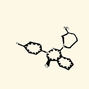 NC1CCCN(c2nn(-c3ccc(F)cc3)c(=O)c3ccccc23)C1